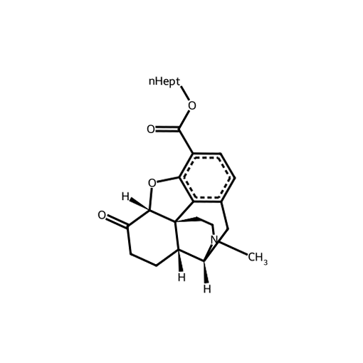 CCCCCCCOC(=O)c1ccc2c3c1O[C@H]1C(=O)CC[C@H]4[C@@H](C2)N(C)CC[C@]314